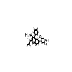 Cc1ccc(-c2c(CN)c(CC(C)C)nc3ccc(N4CC(=O)NCC4=O)cc23)cc1